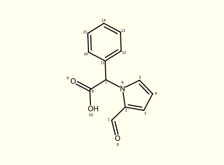 O=Cc1cccn1C(C(=O)O)c1ccccc1